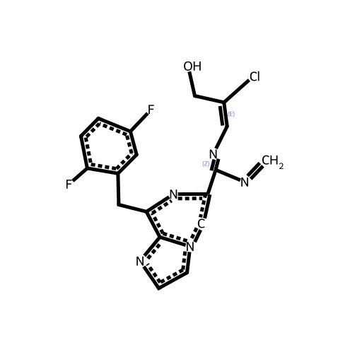 C=N/C(=N\C=C(\Cl)CO)c1cn2ccnc2c(Cc2cc(F)ccc2F)n1